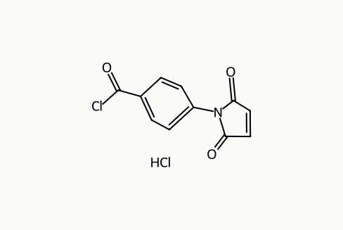 Cl.O=C(Cl)c1ccc(N2C(=O)C=CC2=O)cc1